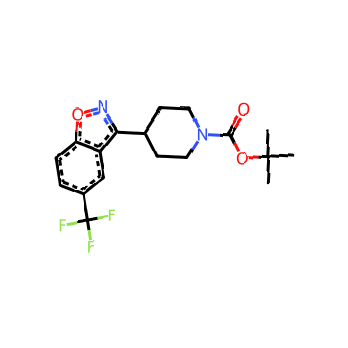 CC(C)(C)OC(=O)N1CCC(c2noc3ccc(C(F)(F)F)cc23)CC1